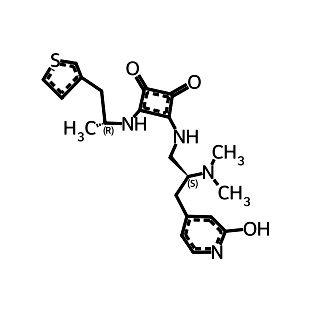 C[C@H](Cc1ccsc1)Nc1c(NC[C@H](Cc2ccnc(O)c2)N(C)C)c(=O)c1=O